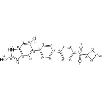 O=S(=O)(c1ccc(-c2ccc(-c3nc4nc(O)[nH]c4cc3Cl)cc2)cc1)C1COC1